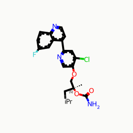 CC(C)C[C@@](C)(COc1cnc(-c2ccnc3ccc(F)cc23)cc1Cl)OC(N)=O